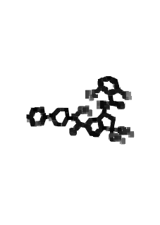 CN(C(=O)c1ccc2c(c1)C(NC(=O)c1c(Cl)cccc1C(F)(F)F)CC2(C)C)C1CCN(c2ccncc2)CC1